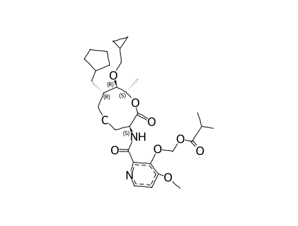 COc1ccnc(C(=O)N[C@H]2CCC[C@H](CC3CCCC3)[C@@H](OCC3CC3)[C@H](C)OC2=O)c1OCOC(=O)C(C)C